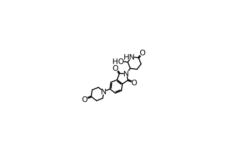 O=C1CCN(c2ccc3c(c2)C(=O)N(C2CCC(=O)NC2O)C3=O)CC1